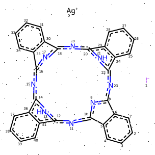 [Ag+].[I-].c1ccc2c(c1)-c1nc-2nc2[nH]c(nc3nc(nc4[nH]c(n1)c1ccccc41)-c1ccccc1-3)c1ccccc21